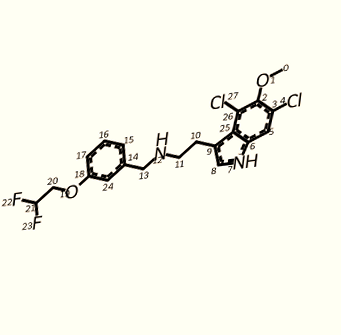 COc1c(Cl)cc2[nH]cc(CCNCc3cccc(OCC(F)F)c3)c2c1Cl